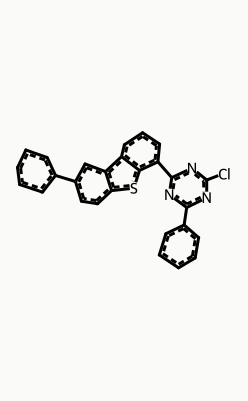 Clc1nc(-c2ccccc2)nc(-c2cccc3c2sc2ccc(-c4ccccc4)cc23)n1